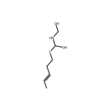 C/C=C/CCSC(O)NCO